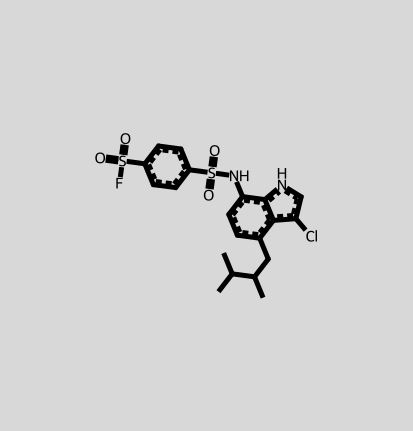 CC(C)C(C)Cc1ccc(NS(=O)(=O)c2ccc(S(=O)(=O)F)cc2)c2[nH]cc(Cl)c12